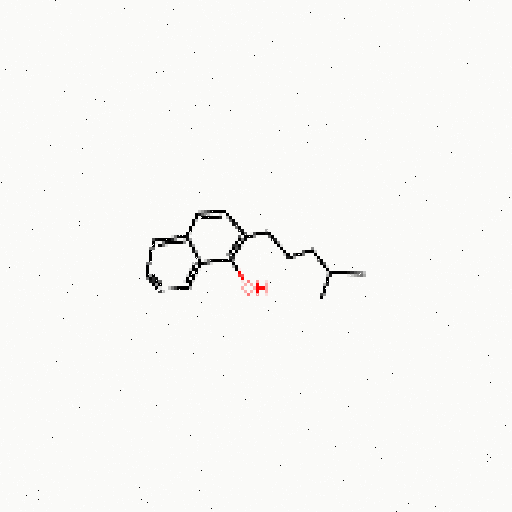 CC(C)CCCc1ccc2ccccc2c1O